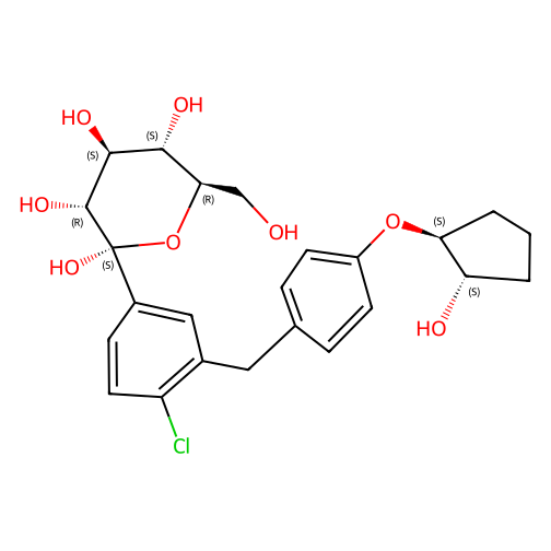 OC[C@H]1O[C@@](O)(c2ccc(Cl)c(Cc3ccc(O[C@H]4CCC[C@@H]4O)cc3)c2)[C@H](O)[C@@H](O)[C@@H]1O